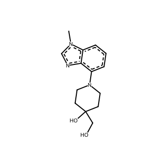 Cn1cnc2c(N3CCC(O)(CO)CC3)cccc21